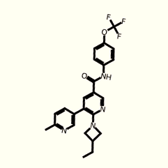 CCC1CN(c2ncc(C(=O)Nc3ccc(OC(F)(F)F)cc3)cc2-c2ccc(C)nc2)C1